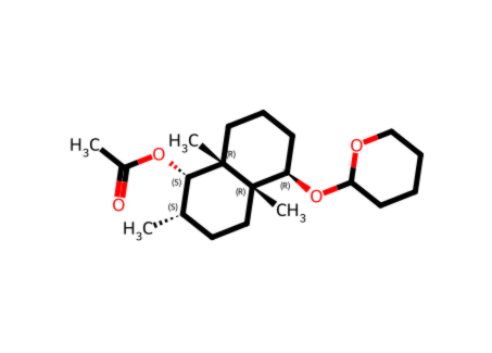 CC(=O)O[C@H]1[C@@H](C)CC[C@@]2(C)[C@H](OC3CCCCO3)CCC[C@@]12C